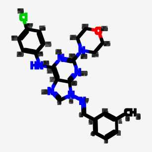 Cc1cccc(C=Nn2cnc3c(Nc4ccc(Cl)cc4)nc(N4CCOCC4)nc32)c1